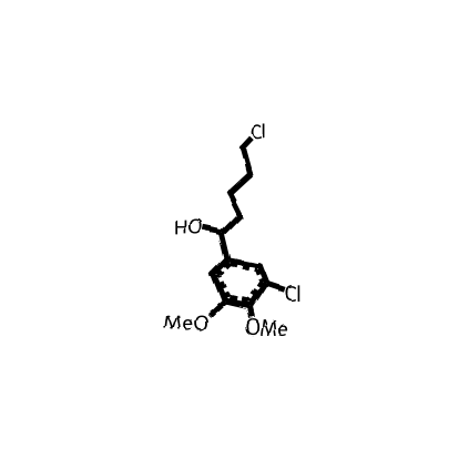 COc1cc(C(O)CCCCCl)cc(Cl)c1OC